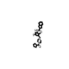 Cc1c(CN2CCN(C(=O)C3CCCC3)CC2)cc(F)cc1NC(=O)C1Cc2ccccc2C1